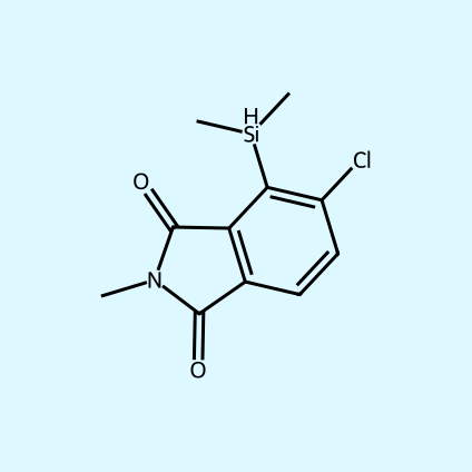 CN1C(=O)c2ccc(Cl)c([SiH](C)C)c2C1=O